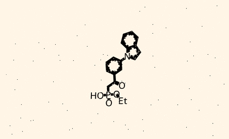 CCOP(=O)(O)CC(=O)c1cccc(-n2ccc3ccccc32)c1